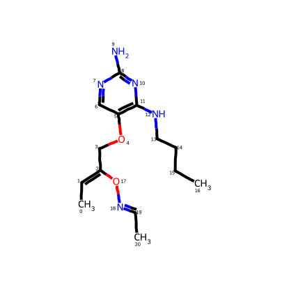 C/C=C(/COc1cnc(N)nc1NCCCC)O/N=C/C